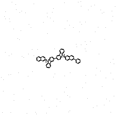 c1ccc(-c2ccc3cc(-n4c5ccccc5c5cc(-c6ccc7c(c6)c6ccccc6n7-c6ccc7ccccc7c6)ccc54)ccc3c2)cc1